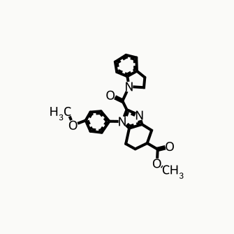 COC(=O)C1CCc2c(nc(C(=O)N3CCc4ccccc43)n2-c2ccc(OC)cc2)C1